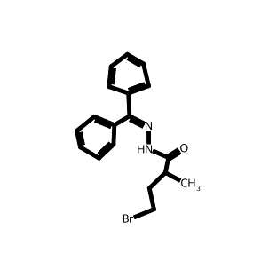 CC(CCBr)C(=O)NN=C(c1ccccc1)c1ccccc1